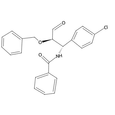 O=C[C@H](OCc1ccccc1)[C@@H](NC(=O)c1ccccc1)c1ccc(Cl)cc1